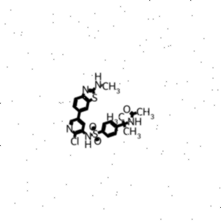 CNc1nc2ccc(-c3cnc(Cl)c(NS(=O)(=O)c4ccc(C(C)(C)NC(C)=O)cc4)c3)cc2s1